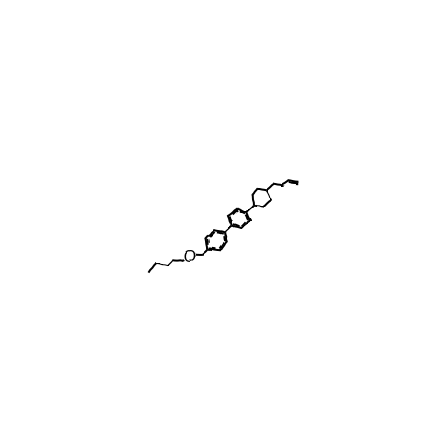 C=CCCC1CCC(c2ccc(-c3ccc(COCCCCC)cc3)cc2)CC1